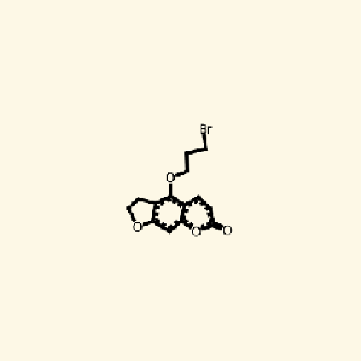 O=c1ccc2c(OCCCBr)c3c(cc2o1)OCC3